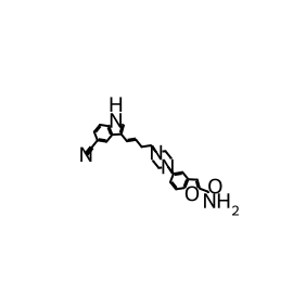 N#Cc1ccc2[nH]cc(C=CCCN3CCN(c4ccc5oc(C(N)=O)cc5c4)CC3)c2c1